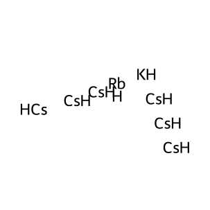 [CsH].[CsH].[CsH].[CsH].[CsH].[CsH].[KH].[RbH]